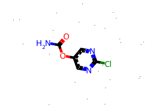 NC(=O)Oc1cnc(Cl)nc1